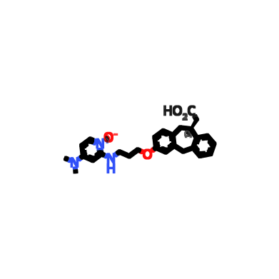 CN(C)c1cc[n+]([O-])c(NCCCOc2ccc3c(c2)Cc2ccccc2[C@H](CC(=O)O)C3)c1